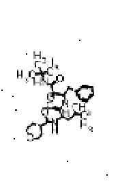 CC(C)CC(NC(=O)C1CCOCC1)C(=O)NC(Cc1ccccc1)C(=O)C(=O)NC(C)(C)C